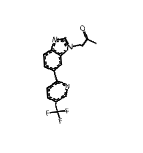 CC(=O)Cn1cnc2ccc(-c3ccc(C(F)(F)F)cn3)cc21